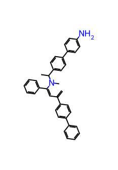 C=C(/C=C(/c1ccccc1)N(C)C(C)c1ccc(-c2ccc(N)cc2)cc1)c1ccc(-c2ccccc2)cc1